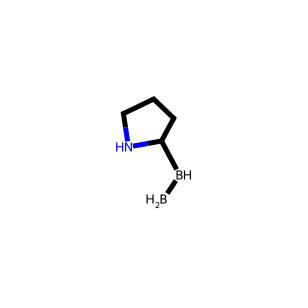 BBC1CCCN1